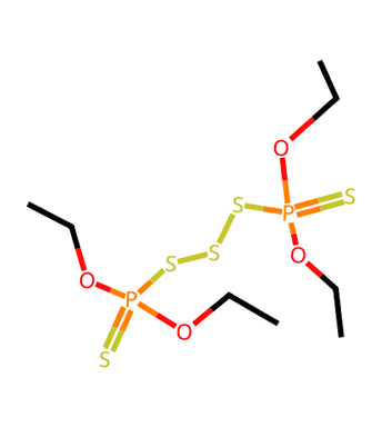 CCOP(=S)(OCC)SSSP(=S)(OCC)OCC